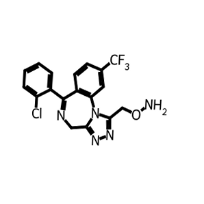 NOCc1nnc2n1-c1cc(C(F)(F)F)ccc1C(c1ccccc1Cl)=NC2